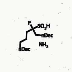 CCCCCCCCCCCCCC(F)(CCCCCCCCCCC)S(=O)(=O)O.N